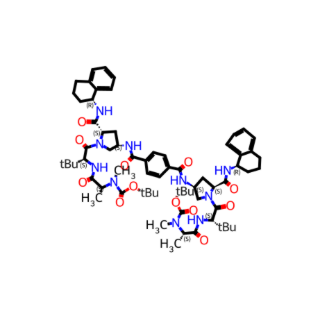 C[C@@H](C(=O)N[C@H](C(=O)N1C[C@@H](NC(=O)c2ccc(C(=O)N[C@H]3C[C@@H](C(=O)N[C@@H]4CCCc5ccccc54)N(C(=O)[C@@H](NC(=O)[C@H](C)N(C)C(=O)OC(C)(C)C)C(C)(C)C)C3)cc2)C[C@H]1C(=O)N[C@@H]1CCCc2ccccc21)C(C)(C)C)N(C)C(=O)OC(C)(C)C